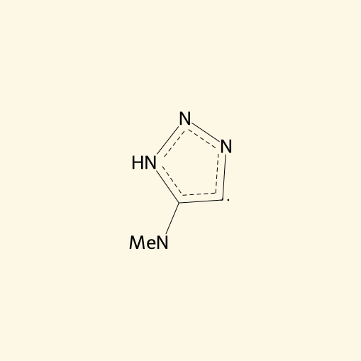 CNc1[c]nn[nH]1